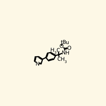 CC(C)(C)OC(=O)NC(C)(C)c1ccc(-c2cccnc2)cc1